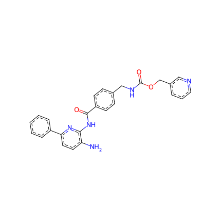 Nc1ccc(-c2ccccc2)nc1NC(=O)c1ccc(CNC(=O)OCc2cccnc2)cc1